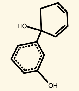 Oc1cccc(C2(O)C=CC=CC2)c1